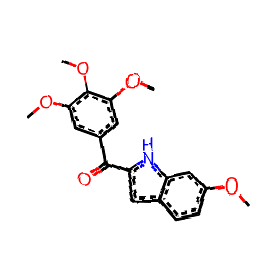 COc1ccc2cc(C(=O)c3cc(OC)c(OC)c(OC)c3)[nH]c2c1